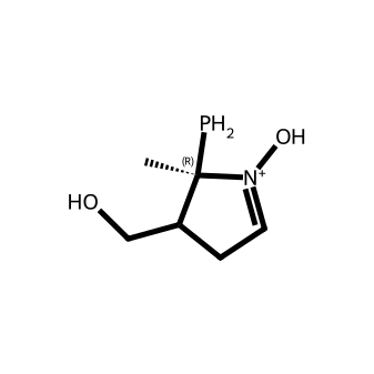 C[C@@]1(P)C(CO)CC=[N+]1O